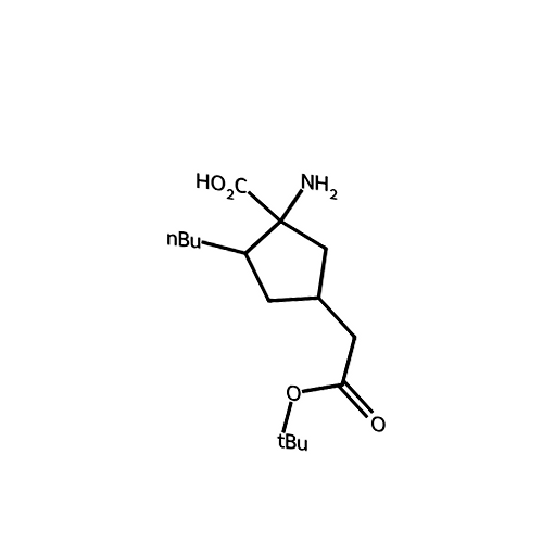 CCCCC1CC(CC(=O)OC(C)(C)C)CC1(N)C(=O)O